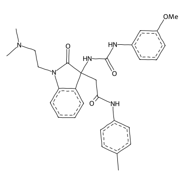 COc1cccc(NC(=O)NC2(CC(=O)Nc3ccc(C)cc3)C(=O)N(CCN(C)C)c3ccccc32)c1